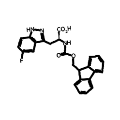 O=C(N[C@@H](Cc1n[nH]c2ccc(F)cc12)C(=O)O)OCC1c2ccccc2-c2ccccc21